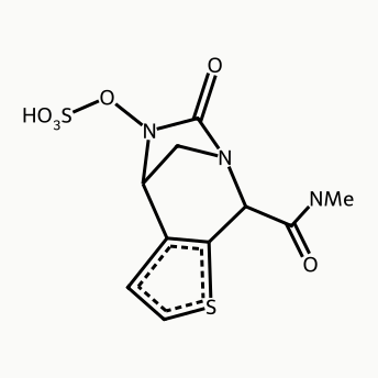 CNC(=O)C1c2sccc2C2CN1C(=O)N2OS(=O)(=O)O